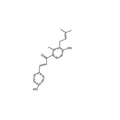 CC(C)=CCc1c(O)ccc(C(=O)/C=C/c2ccc(O)cc2)c1C